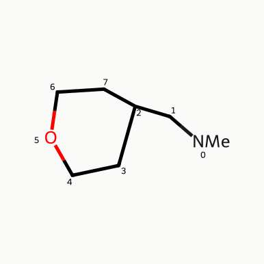 [CH2]NCC1CCOCC1